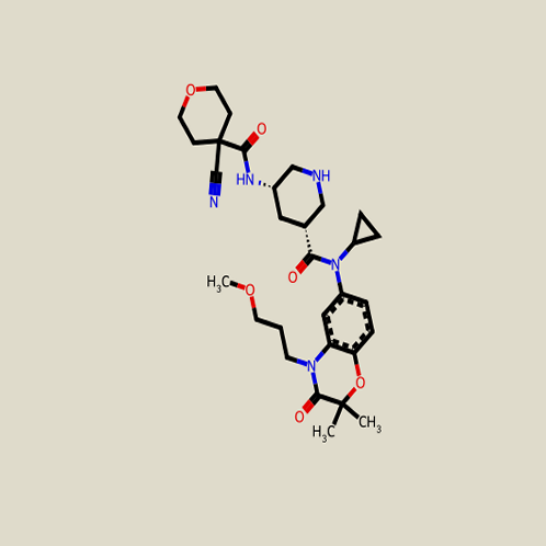 COCCCN1C(=O)C(C)(C)Oc2ccc(N(C(=O)[C@H]3CNC[C@@H](NC(=O)C4(C#N)CCOCC4)C3)C3CC3)cc21